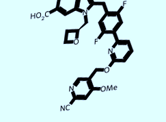 COc1cc(C#N)ncc1COc1cccc(-c2cc(F)c(Cc3nc4ccc(C(=O)O)cc4n3C[C@@H]3CCO3)cc2F)n1